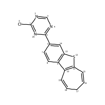 Clc1ncnc(-c2ccc3c4c(sc3c2)C=CCC=C4)n1